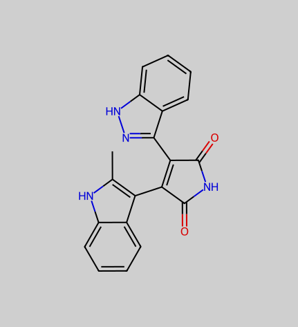 Cc1[nH]c2ccccc2c1C1=C(c2n[nH]c3ccccc23)C(=O)NC1=O